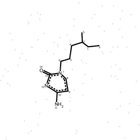 CCC(C)CCCn1ccc(N)nc1=O